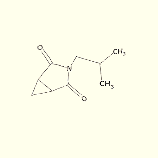 CC(C)CN1C(=O)C2CC2C1=O